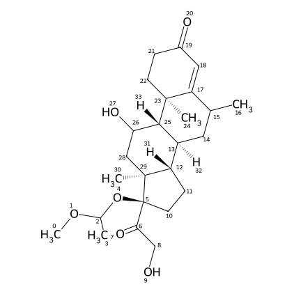 COC(C)O[C@]1(C(=O)CO)CC[C@H]2[C@@H]3CC(C)C4=CC(=O)CC[C@]4(C)[C@H]3C(O)C[C@@]21C